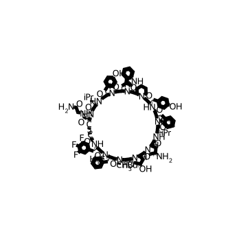 CCCC[C@H]1C(=O)N2C[C@H](O)C[C@@H]2C(=O)N2C[C@H](N)C[C@H]2C(=O)N[C@@H](C(C)C)C(=O)N(C)[C@@H](Cc2ccccc2)C(=O)N[C@@H](Cc2ccc(O)cc2)C(=O)N2CCCCC2C(=O)N[C@@H](Cc2c[nH]c3ccccc23)C(=O)N[C@@H](Cc2ccc(O)cc2)C(=O)N[C@@H](CC(C)C)C(=O)N[C@H](C(=O)NCC(N)=O)CSCC(=O)N[C@@H](Cc2cc(F)c(F)c(F)c2)C(=O)N(C)[C@@H](Cc2ccccc2)C(=O)N1C